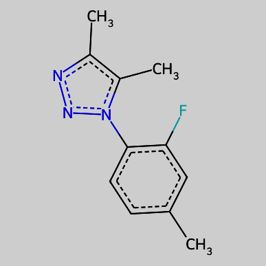 Cc1ccc(-n2nnc(C)c2C)c(F)c1